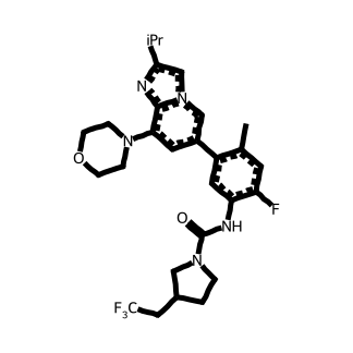 Cc1cc(F)c(NC(=O)N2CCC(CC(F)(F)F)C2)cc1-c1cc(N2CCOCC2)c2nc(C(C)C)cn2c1